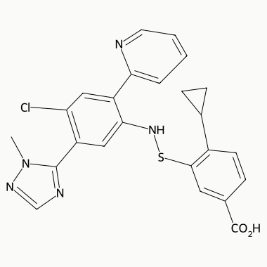 Cn1ncnc1-c1cc(NSc2cc(C(=O)O)ccc2C2CC2)c(-c2ccccn2)cc1Cl